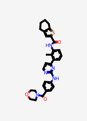 Cc1c(NC(=O)c2cc3c(s2)CCCC3)cccc1-c1ccnc(Nc2ccc(C(=O)N3CCOCC3)cc2)n1